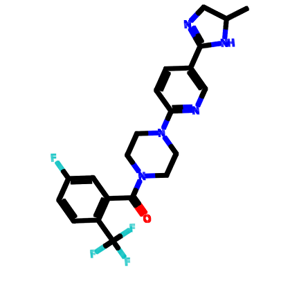 CC1CN=C(c2ccc(N3CCN(C(=O)c4cc(F)ccc4C(F)(F)F)CC3)nc2)N1